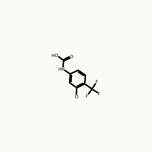 O=C(O)Nc1ccc(C(F)(F)F)c(Cl)c1